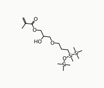 C=C(C)C(=O)OCC(O)COCCC[Si](C)(O[Si](C)(C)C)[Si](C)(C)C